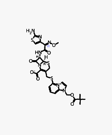 CO/N=C(\C(=O)N[C@@H]1C(=O)N2C(C(=O)[O-])=C(CSc3cccc4n(COC(=O)C(C)(C)C)cc[n+]34)CS[C@H]12)c1csc(N)n1